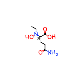 CCN(O)[C@@H](CCC(N)=O)C(=O)O